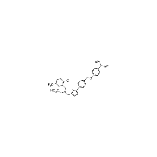 CCCC(CCC)c1ccc(OCc2ccc(-c3ccc(CN(CC(=O)O)Cc4cc(C(F)(F)F)ccc4Cl)s3)cc2)cc1